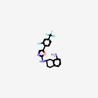 Nc1cccc2c1CC(Nc1ncc(-c3ccc(C(F)(F)F)cc3F)o1)CC2